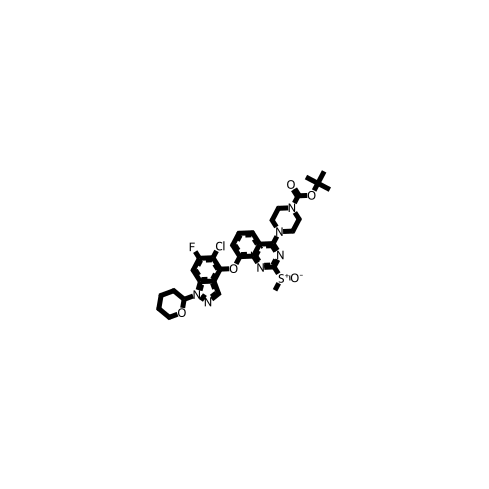 C[S+]([O-])c1nc(N2CCN(C(=O)OC(C)(C)C)CC2)c2cccc(Oc3c(Cl)c(F)cc4c3cnn4C3CCCCO3)c2n1